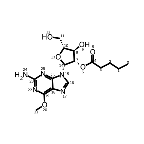 CCCCC(=O)O[C@H]1[C@H](O)[C@@H](CO)O[C@H]1n1cnc2c(OC)nc(N)nc21